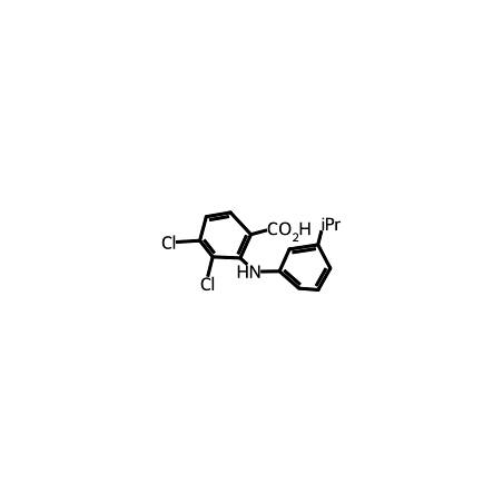 CC(C)c1cccc(Nc2c(C(=O)O)ccc(Cl)c2Cl)c1